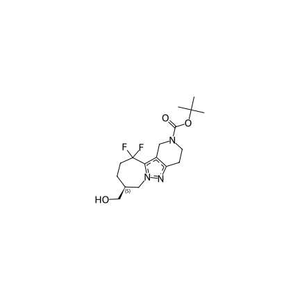 CC(C)(C)OC(=O)N1CCc2nn3c(c2C1)C(F)(F)CC[C@H](CO)C3